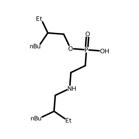 CCCCC(CC)CNCCP(=O)(O)OCC(CC)CCCC